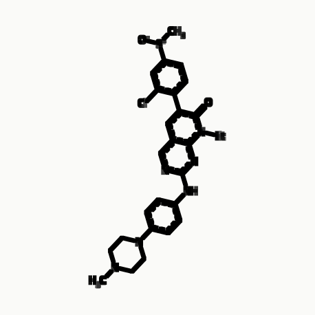 CCn1c(=O)c(-c2ccc([S+](C)[O-])cc2Cl)cc2cnc(Nc3ccc(N4CCN(C)CC4)cc3)nc21